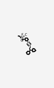 C=CCN(CC(F)(F)F)C(=O)c1cccc(N2CCN(CCC(c3ccccc3)c3ccccc3)CC2)c1